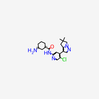 CC1(C)Cc2c(-c3cc(NC(=O)[C@@H]4CCC[C@@H](N)C4)ncc3Cl)cnn2C1